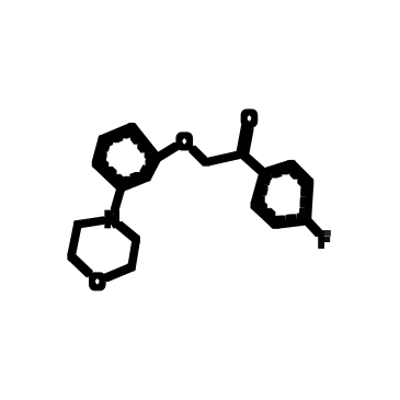 O=C(COc1cccc(N2CCOCC2)c1)c1ccc(F)cc1